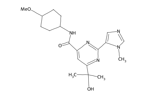 COC1CCC(NC(=O)c2cc(C(C)(C)O)nc(-c3cncn3C)n2)CC1